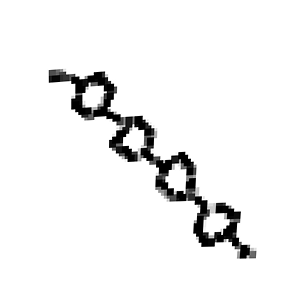 CC(C)(C)c1ccc(-[n+]2ccc(-c3cc[n+](-c4ccc(C(C)(C)C)cc4)cc3)cc2)cc1